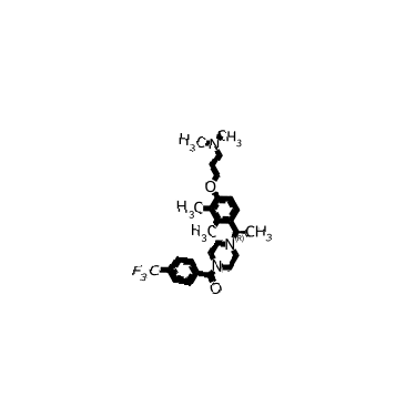 Cc1c(OCCCN(C)C)ccc([C@@H](C)N2CCN(C(=O)c3ccc(C(F)(F)F)cc3)CC2)c1C